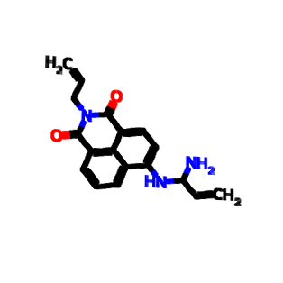 C=CCN1C(=O)c2cccc3c(NC(N)C=C)ccc(c23)C1=O